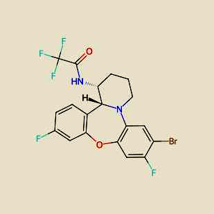 O=C(N[C@@H]1CCCN2c3cc(Br)c(F)cc3Oc3cc(F)ccc3[C@H]12)C(F)(F)F